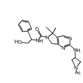 CC(=O)N1CC(Nc2ncc3c(n2)CN(C(=O)NC(CO)c2ccccc2)C3(C)C)C1